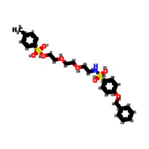 Cc1ccc(S(=O)(=O)OCCOCCOCCNS(=O)(=O)c2ccc(OCc3ccccc3)cc2)cc1